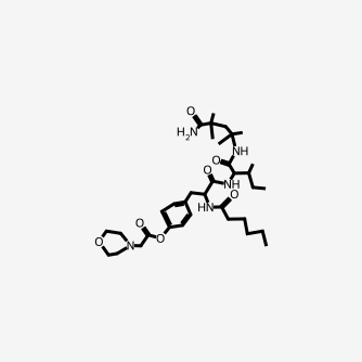 CCCCCC(=O)NC(Cc1ccc(OC(=O)CN2CCOCC2)cc1)C(=O)NC(C(=O)NC(C)(C)CC(C)(C)C(N)=O)C(C)CC